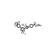 C[C@@H]1[C@H](N2CCN(C(=O)OC(C)(C)C)CC2)CN1c1cc(N2CCC3(CC2)OCCC3=O)nc(C(F)(F)F)n1